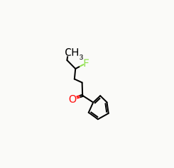 CCC(F)CCC(=O)c1ccccc1